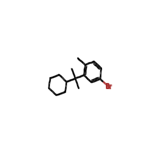 Cc1ccc(Br)cc1C(C)(C)C1CCCCC1